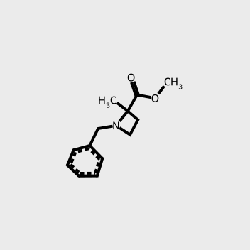 COC(=O)C1(C)CCN1Cc1ccccc1